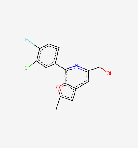 Cc1cc2cc(CO)nc(-c3ccc(F)c(Cl)c3)c2o1